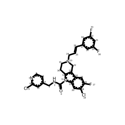 O=C(NCc1ccnc(Cl)c1)n1c2c(c3cc(F)c(Cl)cc31)CN(C/C=C/c1cc(F)cc(F)c1)CC2